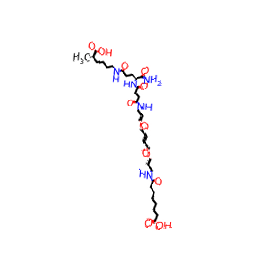 C[C@@H](CCCCNC(=O)CC[C@H](NC(=O)CCC(=O)NCCCOCCCCOCCCNC(=O)CCCCCCC(=O)O)C(N)=O)C(=O)O